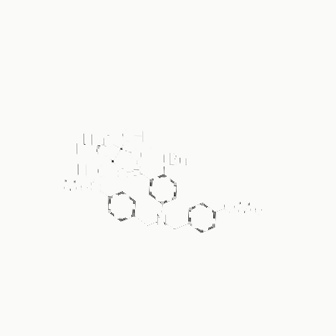 COc1ccc(CN(Cc2ccc(OC)cc2)c2ccc(C(C)(C)C)c(B3OC(C)(C)C(C)(C)O3)c2)cc1